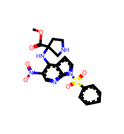 COC(=O)C1(Nc2c([N+](=O)[O-])cnc3c2ccn3S(=O)(=O)c2ccccc2)CCNC1